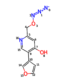 [N-]=[N+]=NOCc1cc(O)c(-c2ccoc2)cn1